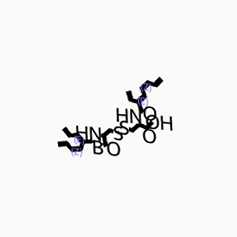 C=C/C=C\C=C(/C=C)C(=O)NC(CSSCC1NC(C(/C=C\C=C)=C/C=C)=BC1=O)C(=O)O